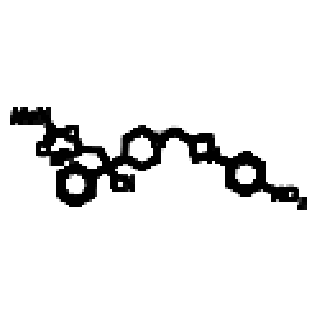 CCCC(CC(C#N)(c1ccccc1)C1CCN(CC2CN(c3ccc([N+](=O)[O-])cc3)C2)CC1)OC(=O)NC